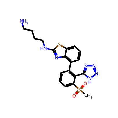 CS(=O)(=O)c1cccc(-c2cccc3sc(NCCCCN)nc23)c1-c1nnn[nH]1